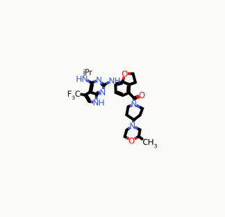 CC(C)Nc1nc(Nc2ccc(C(=O)N3CCC(N4CCOC(C)C4)CC3)c3c2OCC3)nc2[nH]cc(C(F)(F)F)c12